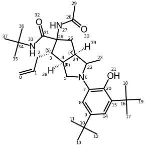 C=CC[C@H]1[C@@H]2CN(c3cc(C(C)(C)C)cc(C(C)(C)C)c3O)C(C)[C@@H]2CC1(NC(C)=O)C(=O)NC(C)(C)C